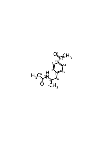 CC(=O)NC(C)Cc1ccc(C(C)=O)cc1